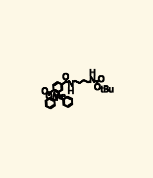 COC(=O)c1ccc(C(=O)NCCCCNC(=O)OC(C)(C)C)cc1P(c1ccccc1)c1ccccc1